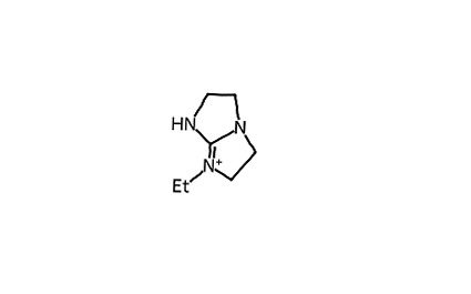 CC[N+]1=C2NCCN2CC1